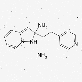 N.NC1(CCc2ccncc2)C=C2C=CC=CN2N1